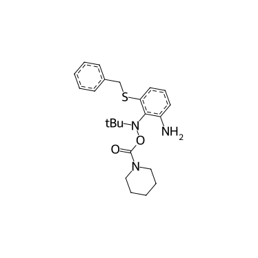 CC(C)(C)N(OC(=O)N1CCCCC1)c1c(N)cccc1SCc1ccccc1